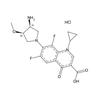 CO[C@@H]1CN(c2c(F)cc3c(=O)c(C(=O)O)cn(C4CC4)c3c2F)C[C@@H]1N.Cl